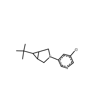 CC(C)(C)C1C2CN(c3cncc(Cl)c3)CC21